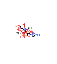 Nc1ccn(C2OC(OP(=O)(O)OC3(C=O)C[C@@H](O)[C@@H](NC(=O)CCl)C([C@H](O)[C@H](O)CO)O3)[C@@H](O)[C@H]2O)c(=O)n1